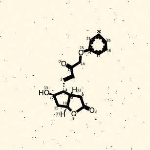 O=C(C=C[C@@H]1[C@H]2CC(=O)O[C@H]2C[C@H]1O)COc1ccccc1